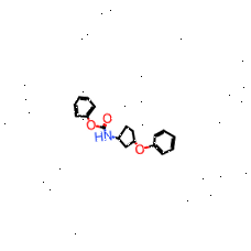 O=C(NC1CCC(Oc2ccccc2)C1)Oc1ccccc1